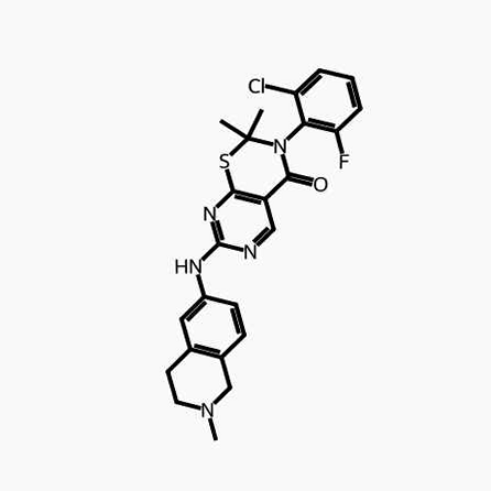 CN1CCc2cc(Nc3ncc4c(n3)SC(C)(C)N(c3c(F)cccc3Cl)C4=O)ccc2C1